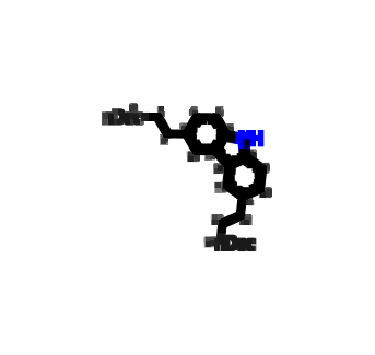 CCCCCCCCCCCCc1ccc2[nH]c3ccc(CCCCCCCCCCCC)cc3c2c1